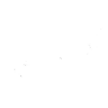 CN1CC2CC[C@@H]1CN2c1cc(Cl)c(C(=O)N2COc3c(cccc3-c3cc(N4C5CCC4COC5)c(C(=O)O)cc3F)C2)c(Cl)c1